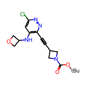 CC(C)(C)OC(=O)N1CC(C#Cc2nnc(Cl)cc2NC2COC2)C1